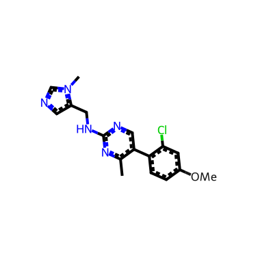 COc1ccc(-c2cnc(NCc3cncn3C)nc2C)c(Cl)c1